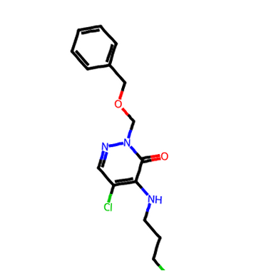 O=c1c(NCCCCl)c(Cl)cnn1COCc1ccccc1